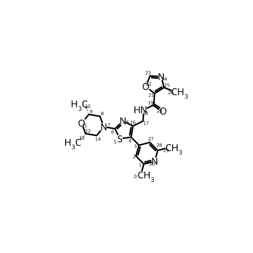 Cc1cc(-c2sc(N3C[C@@H](C)O[C@@H](C)C3)nc2CNC(=O)c2ocnc2C)cc(C)n1